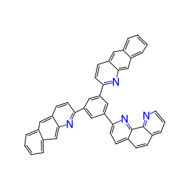 c1ccc2cc3nc(-c4cc(-c5ccc6cc7ccccc7cc6n5)cc(-c5ccc6ccc7cccnc7c6n5)c4)ccc3cc2c1